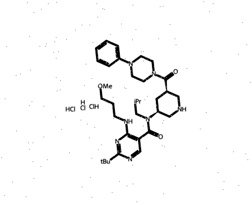 COCCCNc1nc(C(C)(C)C)ncc1C(=O)N(CC(C)C)[C@@H]1CNC[C@H](C(=O)N2CCN(c3ccccc3)CC2)C1.Cl.Cl.Cl